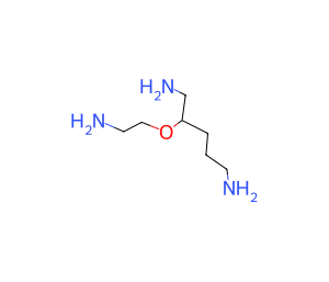 NCCCC(CN)OCCN